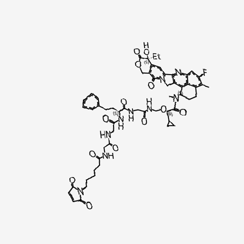 CC[C@@]1(O)C(=O)OCc2c1cc1n(c2=O)Cc2c-1nc1cc(F)c(C)c3c1c2[C@@H](N(C)C(=O)[C@H](OCNC(=O)CNC(=O)[C@H](CCc1ccccc1)NC(=O)CNC(=O)CNC(=O)CCCCCN1C(=O)C=CC1=O)C1CC1)CC3